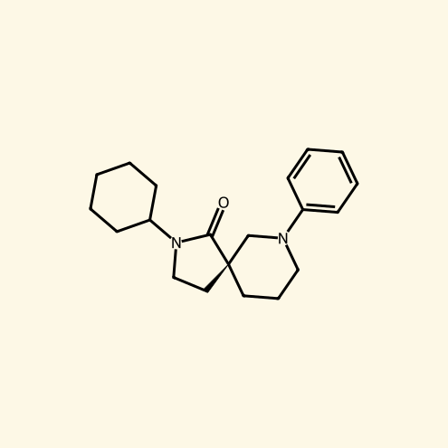 O=C1N(C2CCCCC2)CC[C@@]12CCCN(c1ccccc1)C2